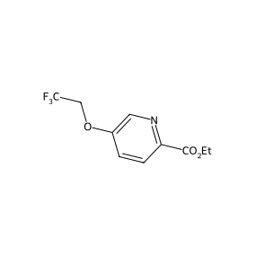 CCOC(=O)c1ccc(OCC(F)(F)F)cn1